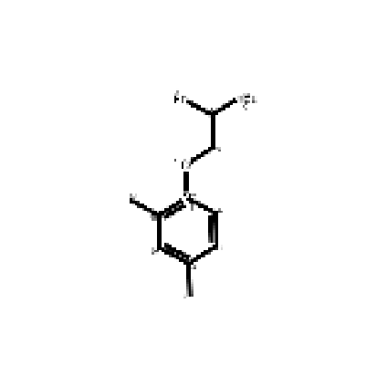 CCCCC(CC)CO[n+]1ccc(C)cc1C